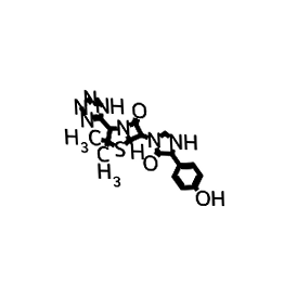 CC1(C)S[C@H]2C(N3CNC(c4ccc(O)cc4)C3=O)C(=O)N2C1c1nnn[nH]1